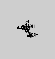 CC(C)Cc1ccc(S(=O)(=O)NC(=O)O)c(-c2ccc(Cn3ccnc3C(C)(C)O)cc2)c1